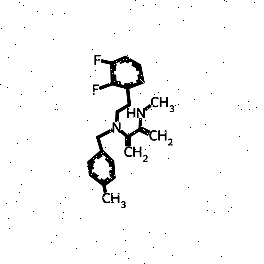 C=C(NC)C(=C)N(CCc1cccc(F)c1F)Cc1ccc(C)cc1